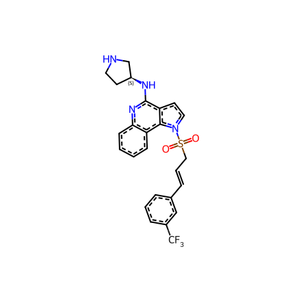 O=S(=O)(CC=Cc1cccc(C(F)(F)F)c1)n1ccc2c(N[C@H]3CCNC3)nc3ccccc3c21